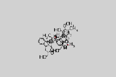 COc1c(C)cc2c(c1O)[C@@H]1[C@@H]3[C@@H]4SC[C@]5(N[C@H](CO)Cc6c5[nH]c5ccccc65)C(=O)OC[C@@H](c5c6c(c(C)c(OC(C)=O)c54)OCO6)N3C(C)(C2)CN1C